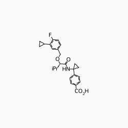 CC(C)[C@@H](OCc1ccc(F)c(C2CC2)c1)C(=O)NC1(c2ccc(C(=O)O)cc2)CC1